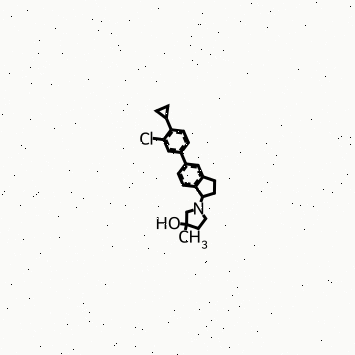 CC1(O)CCN(C2CCc3cc(-c4ccc(C5CC5)c(Cl)c4)ccc32)C1